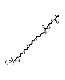 C=C(C)C(=O)OCCNC(=O)NCCCOCCOCCOCCCNS(=O)(=O)C(F)(F)F